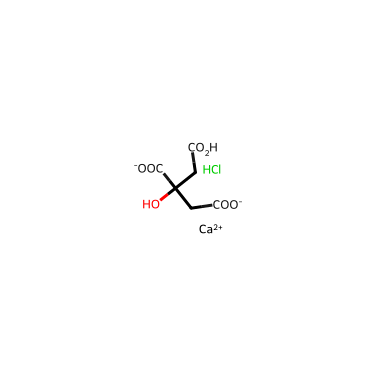 Cl.O=C([O-])CC(O)(CC(=O)O)C(=O)[O-].[Ca+2]